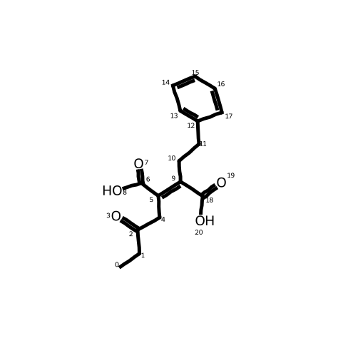 CCC(=O)CC(C(=O)O)=C(CCc1ccccc1)C(=O)O